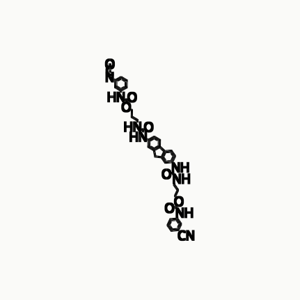 N#Cc1cccc(NC(=O)OCCCNC(=O)Nc2ccc3c(c2)Cc2cc(NC(=O)NCCCOC(=O)Nc4cccc(N=C=O)c4)ccc2-3)c1